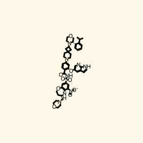 CC(C)c1ccccc1[C@H]1COCCN1C1CC2(CCN(c3ccc(C(=O)NS(=O)(=O)c4cc5c(c([N+](=O)[O-])c4)N[C@@H](CN4CCOCC4)CCO5)c(Oc4cnc5[nH]ccc5c4)c3)CC2)C1